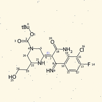 CC(C)(C)OC(=O)N1C/C(=C(/C(=N)c2ccc(F)c(Cl)c2)C(N)=O)NC(CCO)C1